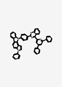 c1ccc(-c2cc(-c3ccccc3)nc(-c3nc(-c4ccc(-n5c6ccccc6c6ccc7c(ccn7-c7ccccc7)c65)cc4)nc4ccccc34)c2)cc1